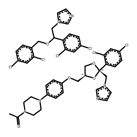 CC(=O)N1CCN(c2ccc(OC[C@H]3CO[C@](Cn4ccnc4)(c4ccc(Cl)cc4Cl)O3)cc2)CC1.Clc1ccc(COC(Cn2ccnc2)c2ccc(Cl)cc2Cl)c(Cl)c1